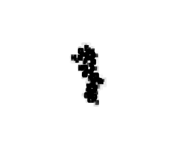 CS(=O)(=O)c1ccc(-c2nc(C(CCOc3ccc(F)c(C(N)=O)c3F)C(=O)O)oc2Br)cc1